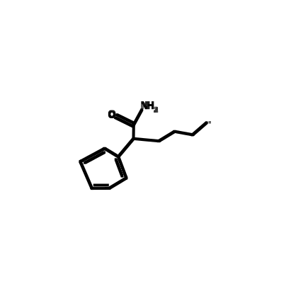 [CH2]CCCC(C(N)=O)c1ccccc1